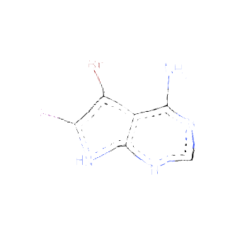 Nc1ncnc2[nH]c(I)c(Br)c12